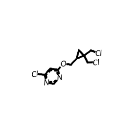 ClCC1(CCl)CC1COc1cc(Cl)ncn1